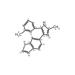 Cc1cccc(-c2[nH]c(C)nc2-c2ccc3nnsc3c2)n1